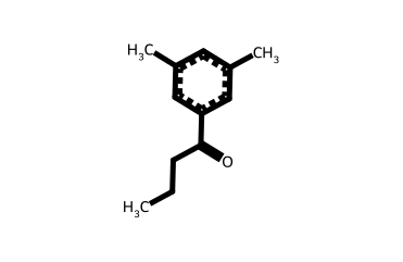 CCCC(=O)c1cc(C)cc(C)c1